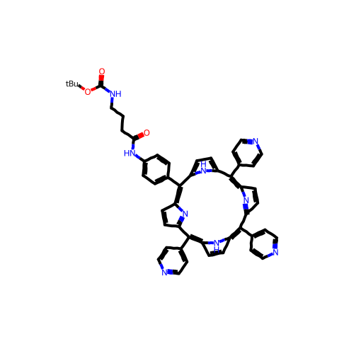 CC(C)(C)OC(=O)NCCCC(=O)Nc1ccc(-c2c3nc(c(-c4ccncc4)c4ccc([nH]4)c(-c4ccncc4)c4nc(c(-c5ccncc5)c5ccc2[nH]5)C=C4)C=C3)cc1